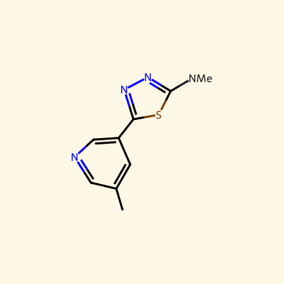 CNc1nnc(-c2cncc(C)c2)s1